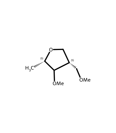 COC[C@H]1CO[C@@H](C)C1OC